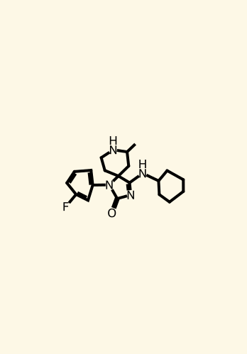 CC1CC2(CCN1)C(NC1CCCCC1)=NC(=O)N2c1cccc(F)c1